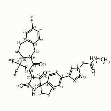 CNC(=O)Cn1cc(-c2ccc3c(c2)CCC32NC(=O)N(CC(=O)N3Cc4ccc(F)cc4CC[C@H]3C(F)(F)F)C2=O)cn1